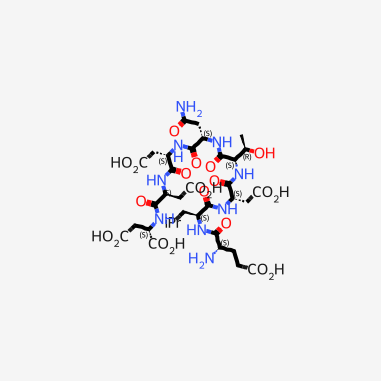 CC(C)C[C@H](NC(=O)[C@@H](N)CCC(=O)O)C(=O)N[C@@H](CC(=O)O)C(=O)N[C@H](C(=O)N[C@@H](CC(N)=O)C(=O)N[C@@H](CC(=O)O)C(=O)N[C@@H](CC(=O)O)C(=O)N[C@@H](CC(=O)O)C(=O)O)[C@@H](C)O